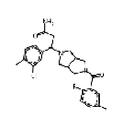 Cc1ccc(F)c(C(=O)N2CC3CN(C(CC(N)=O)c4ccc(C)c(Cl)c4)CC3C2)c1